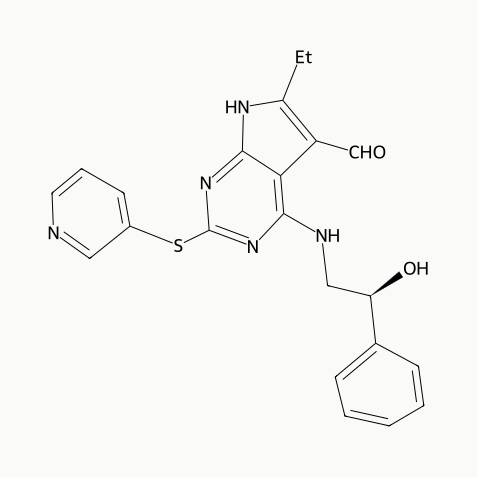 CCc1[nH]c2nc(Sc3cccnc3)nc(NC[C@@H](O)c3ccccc3)c2c1C=O